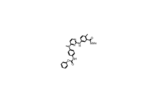 CNC(=O)c1cc(Nc2nccc(N(C)c3ccc(NC(=O)Oc4ccccc4)cc3)n2)ccc1C